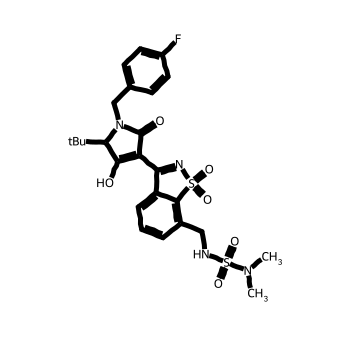 CN(C)S(=O)(=O)NCc1cccc2c1S(=O)(=O)N=C2C1=C(O)C(C(C)(C)C)N(Cc2ccc(F)cc2)C1=O